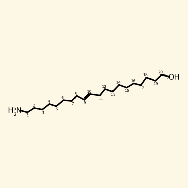 NCCCCCCCCC=CCCCCCCCCCCO